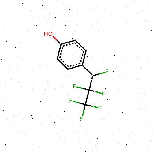 Oc1ccc(C(F)C(F)(F)C(F)(F)F)cc1